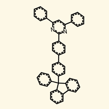 c1ccc(-c2cc(-c3ccccc3)nc(-c3ccc(-c4ccc(C5(c6ccccc6)c6ccccc6-c6ccccc65)cc4)cc3)n2)cc1